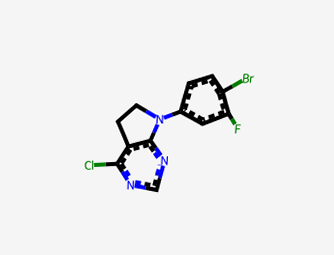 Fc1cc(N2CCc3c(Cl)ncnc32)ccc1Br